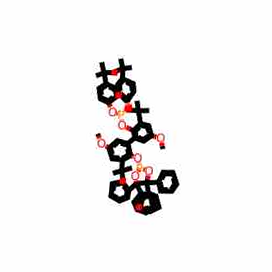 COc1cc(-c2cc(OC)cc(C(C)(C)C)c2OP2OC(c3ccccc3)(c3ccccc3)C(c3ccccc3)(c3ccccc3)O2)c(OP(Oc2ccc(C(C)(C)C)cc2)Oc2ccc(C(C)(C)C)cc2)c(C(C)(C)C)c1